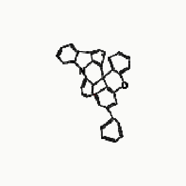 c1ccc(-c2ccc3c(c2)Oc2ccccc2C32c3ccccc3-n3c4ccccc4c4cccc2c43)cc1